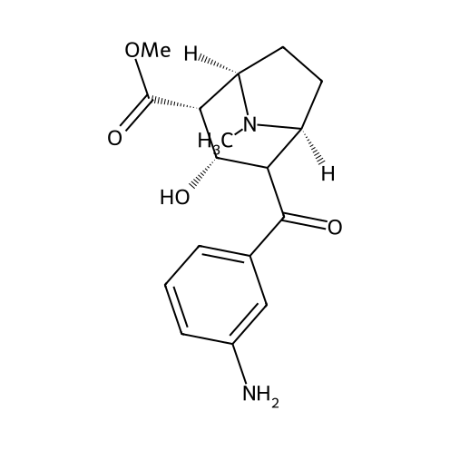 COC(=O)[C@@H]1[C@H]2CC[C@@H](C(C(=O)c3cccc(N)c3)[C@@H]1O)N2C